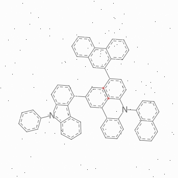 c1ccc(-n2c3ccccc3c3c(-c4cccc(-c5ccccc5N(c5ccc(-c6cc7ccccc7c7ccccc67)cc5)c5cccc6ccccc56)c4)cccc32)cc1